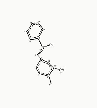 Cc1ccc(C=[N+]([O-])c2ccccc2)cc1O